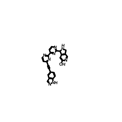 Oc1cc2c(cn1)CNC2c1nccc(-c2nccc(C#Cc3ccc4[nH]ncc4c3)n2)n1